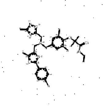 CCOC(=O)C(C)(C)Oc1c(C)cc(CN(Cc2nc(C)no2)Cc2nc(-c3ccc(C)cc3)oc2C)cc1C